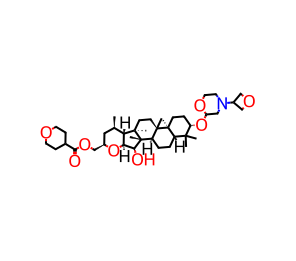 C[C@@H]1C[C@H](COC(=O)C2CCOCC2)O[C@H]2[C@H]1[C@@]1(C)CC[C@@]34C[C@@]35CC[C@H](OC3CN(C6COC6)CCO3)C(C)(C)[C@@H]5CC[C@H]4[C@]1(C)[C@H]2O